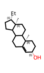 CC[C@H]1CCC2C3CCC4=C[C@@H](O)CC[C@]4(C)C3CC[C@@]21C